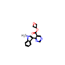 Cn1cc(-c2ncncc2C(=O)OC2COC2)c2ccccc21